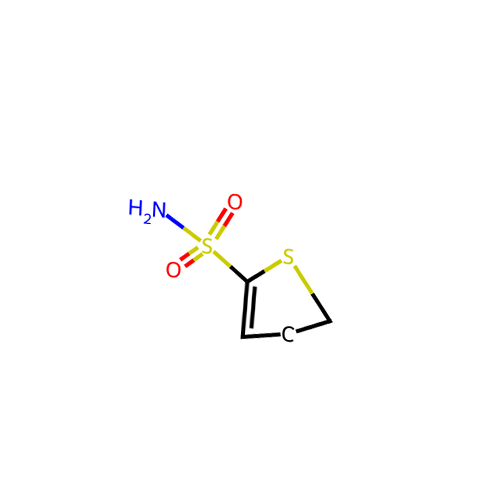 NS(=O)(=O)C1=CCCS1